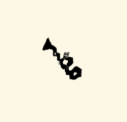 c1ccc(CN2CCN[C@H](CCOCC3CC3)C2)cc1